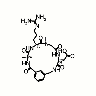 C[C@@H]1NC(=O)c2cccc(c2)CNC(=O)[C@H](CC(=O)O)NC(=O)CNC(=O)[C@H](CCCN=C(N)N)NC1=O